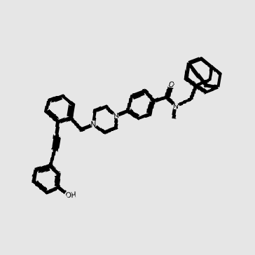 CN(CC12CC3CC(CC(C3)C1)C2)C(=O)c1ccc(N2CCN(Cc3ccccc3C#Cc3cccc(O)c3)CC2)cc1